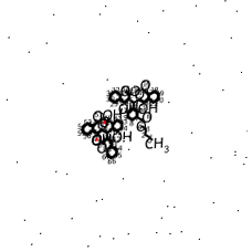 CCCCOC(=O)c1cccc(C(c2oc(=O)c3ccccc3c2O)c2c(O)c3ccccc3oc2=O)c1.O=C(O)c1ccccc1C(c1oc(=O)c2ccccc2c1O)c1c(O)c2ccccc2oc1=O